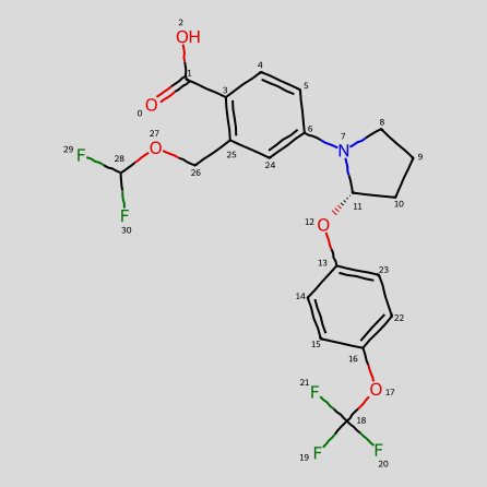 O=C(O)c1ccc(N2CCC[C@@H]2Oc2ccc(OC(F)(F)F)cc2)cc1COC(F)F